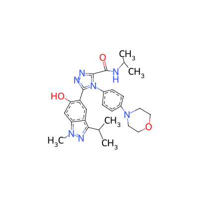 CC(C)NC(=O)c1nnc(-c2cc3c(C(C)C)nn(C)c3cc2O)n1-c1ccc(N2CCOCC2)cc1